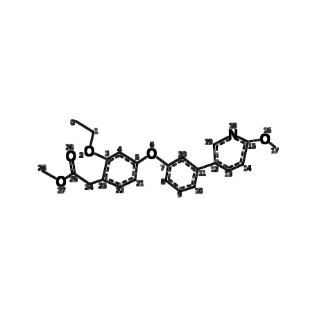 CCOc1cc(Oc2cccc(-c3ccc(OC)nc3)c2)ccc1CC(=O)OC